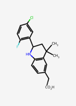 CC1(C)CC(c2cc(Cl)ccc2F)Nc2ccc(CC(=O)O)cc21